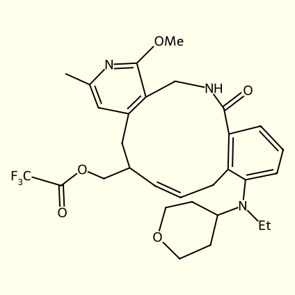 CCN(c1cccc2c1C/C=C\C(COC(=O)C(F)(F)F)Cc1cc(C)nc(OC)c1CNC2=O)C1CCOCC1